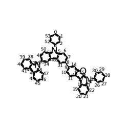 c1ccc(-n2c3ccc(-c4ccc5c(c4)oc4c5c5ccccc5n4-c4ccccc4)cc3c3cc(-n4c5ccccc5c5ccccc54)ccc32)cc1